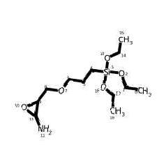 CCO[Si](CCCOCC1OC1N)(OCC)OCC